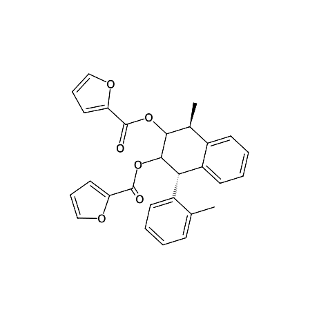 Cc1ccccc1[C@H]1c2ccccc2[C@H](C)C(OC(=O)c2ccco2)C1OC(=O)c1ccco1